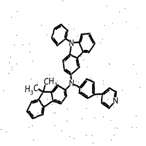 CC1(C)c2ccccc2-c2ccc(N(c3ccc(-c4ccncc4)cc3)c3ccc4c(c3)c3ccccc3n4-c3ccccc3)cc21